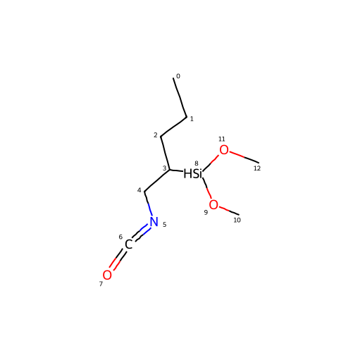 CCCC(CN=C=O)[SiH](OC)OC